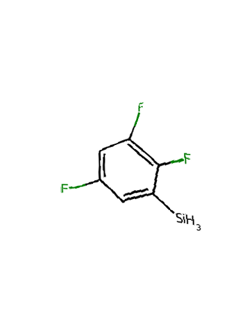 Fc1cc(F)c(F)c([SiH3])c1